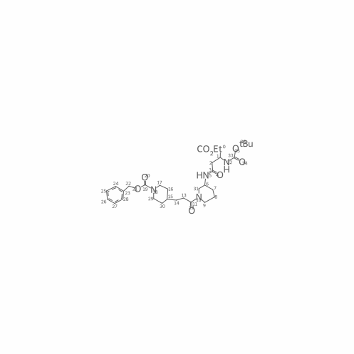 CCOC(=O)C(CC(=O)NC1CCCN(C(=O)CCC2CCN(C(=O)OCc3ccccc3)CC2)C1)NC(=O)OC(C)(C)C